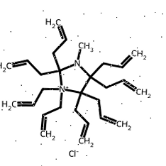 C=CCC1(CC=C)N(C)C(CC=C)(CC=C)[N+](CC=C)(CC=C)C1(CC=C)CC=C.[Cl-]